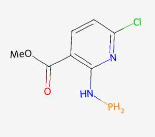 COC(=O)c1ccc(Cl)nc1NP